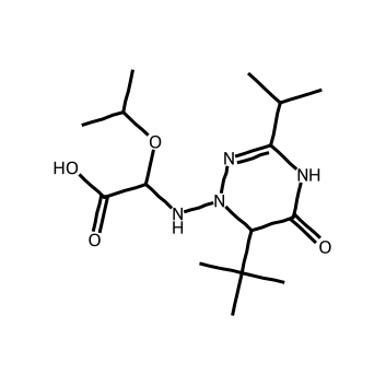 CC(C)OC(NN1N=C(C(C)C)NC(=O)C1C(C)(C)C)C(=O)O